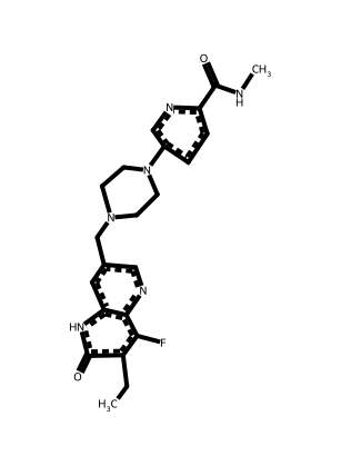 CCc1c(F)c2ncc(CN3CCN(c4ccc(C(=O)NC)nc4)CC3)cc2[nH]c1=O